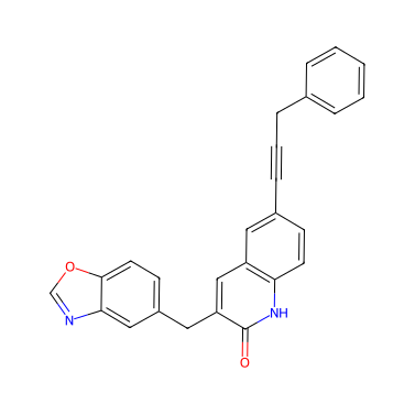 O=c1[nH]c2ccc(C#CCc3ccccc3)cc2cc1Cc1ccc2ocnc2c1